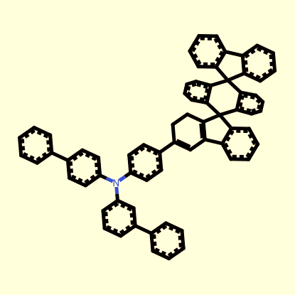 C1=C(c2ccc(N(c3ccc(-c4ccccc4)cc3)c3cccc(-c4ccccc4)c3)cc2)CCC2=C1c1ccccc1C21c2ccccc2C2(c3ccccc3-c3ccccc32)c2ccccc21